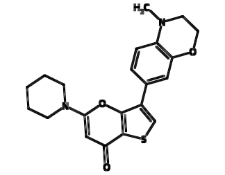 CN1CCOc2cc(-c3csc4c(=O)cc(N5CCCCC5)oc34)ccc21